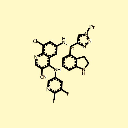 CC(C)n1cc([C@@H](Nc2cc(Cl)c3ncc(C#N)c(Nc4cnc(F)c(F)c4)c3c2)c2cccc3c2CCN3)nn1